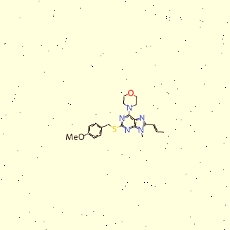 CC=Cc1nc2c(N3CCOCC3)nc(SCc3ccc(OC)cc3)nc2n1C